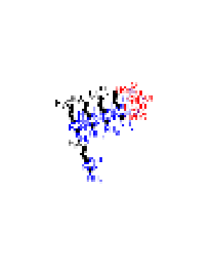 C=CCc1nc(N)n[nH]1.C=CCc1nc(N)n[nH]1.C=CCc1nc(N)n[nH]1.C=CCc1nc(N)n[nH]1.C=CCc1nc(N)n[nH]1.O=P(O)(O)OP(=O)(O)OP(=O)(O)O